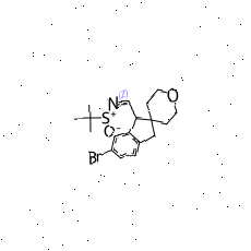 CC(C)(C)[S+]([O-])/N=C\C1c2cc(Br)ccc2CC12CCOCC2